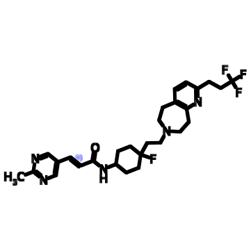 Cc1ncc(/C=C/C(=O)NC2CCC(F)(CCN3CCc4ccc(CCC(F)(F)F)nc4CC3)CC2)cn1